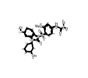 CCOc1ccc2c(c1)n(C1CCCC(O)C1)c(=O)n2S(=O)(=O)c1ccc(NC(=O)N(CC)CC)cc1OC